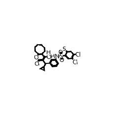 O=c1oc2c(c(O)c1C(c1cccc(NS(=O)(=O)C3=CC(Cl)=C(Cl)CC3=S)c1)C1CC1)CCCCCC2